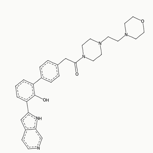 O=C(Cc1ccc(-c2cccc(-c3cc4ccncc4[nH]3)c2O)cc1)N1CCN(CCN2CCOCC2)CC1